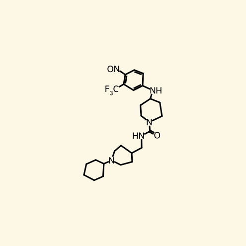 O=Nc1ccc(NC2CCN(C(=O)NCC3CCN(C4CCCCC4)CC3)CC2)cc1C(F)(F)F